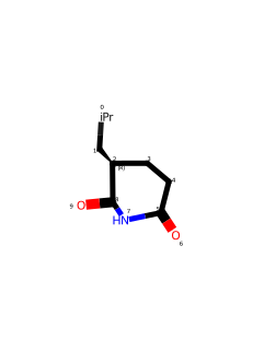 CC(C)C[C@H]1CCC(=O)NC1=O